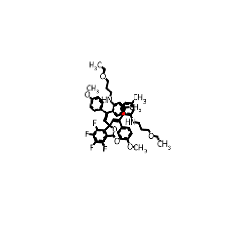 CCOCCCNc1cc(C)ccc1C(=CC1(C=C(c2ccc(OC)cc2)c2ccc(C)cc2NCCCOCC)OC(=O)c2c(F)c(F)c(F)c(F)c21)c1ccc(OC)cc1